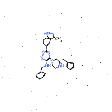 Cc1n[nH]c2ccc(-c3nnc(NCc4ccccc4)c(N4CCN[C@@H](Cc5ccccc5)C4)n3)cc12